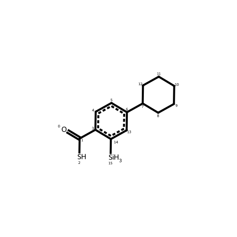 O=C(S)c1ccc(C2CCCCC2)cc1[SiH3]